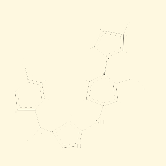 COc1cc(Nc2ncc(C(O)c3ccc(Cl)cc3)s2)ccc1-n1cnc(C)c1